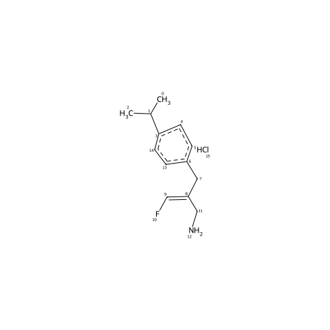 CC(C)c1ccc(CC(=CF)CN)cc1.Cl